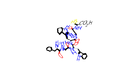 N[C@@H](Cc1ccccc1)C(=O)NCC(=O)N[C@@H](Cc1c[nH]c2ccccc12)C(=O)N[C@@H](Cc1c[nH]c2ccccc12)C(=O)NCC(=O)N[C@@H](CS)C(=O)O